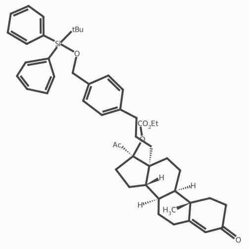 CCOC(=O)O[C@]1(C(C)=O)CC[C@H]2[C@@H]3CCC4=CC(=O)CC[C@@]4(C)[C@@H]3CC[C@@]21CCCc1ccc(CO[Si](c2ccccc2)(c2ccccc2)C(C)(C)C)cc1